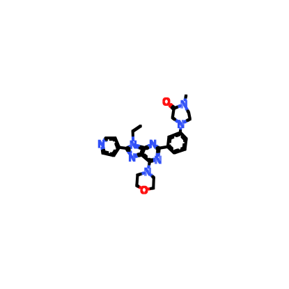 CCn1c(-c2ccncc2)nc2c(N3CCOCC3)nc(-c3cccc(N4CCN(C)C(=O)C4)c3)nc21